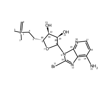 C=P(C)(C)CC[C@H]1OC(n2c(Br)nc3c(N)ccnc32)[C@H](O)[C@@H]1O